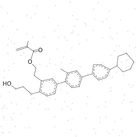 C=C(C)C(=O)OCCc1cc(-c2ccc(-c3ccc(C4CCCCC4)cc3)cc2C)ccc1CCCO